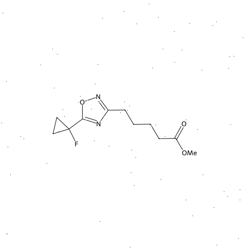 COC(=O)CCCCc1noc(C2(F)CC2)n1